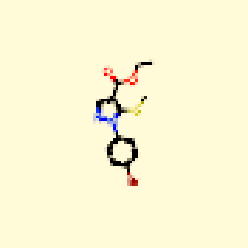 CCOC(=O)c1cnn(-c2ccc(Br)cc2)c1SC